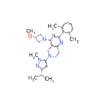 COC1CN(c2nc(-c3c(C)cccc3C)nc3c2CN(c2cc(C(C)C)nn2C)CC3)C1